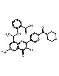 Cc1cc(C(C)Nc2ccccc2C(=O)O)c2oc(-c3ccc(C(=O)N4CCOCC4)cc3)c(C)c(=O)c2c1